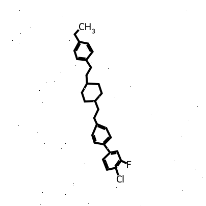 CCc1ccc(CCC2CCC(CCc3ccc(-c4ccc(Cl)c(F)c4)cc3)CC2)cc1